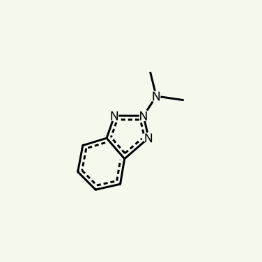 CN(C)n1nc2ccccc2n1